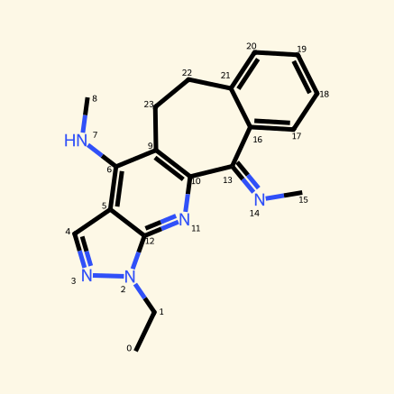 CCn1ncc2c(NC)c3c(nc21)/C(=N/C)c1ccccc1CC3